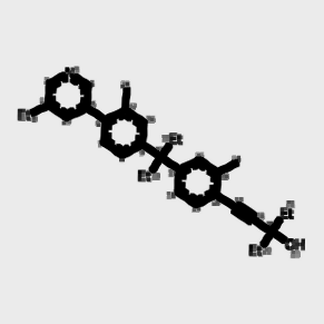 CCc1cncc(-c2ccc(C(CC)(CC)c3ccc(C#CC(O)(CC)CC)c(C)c3)cc2C)c1